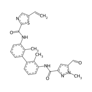 C=Cc1cnc(C(=O)Nc2cccc(-c3cccc(NC(=O)c4cc(C=O)n(C)n4)c3C)c2C)s1